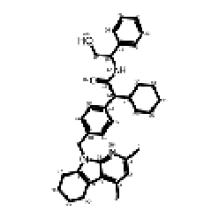 Cc1cc(C)c2c3c(n(Cc4ccc(C(C(=O)NC(CO)c5ccccc5)C5CCCCC5)cc4)c2n1)CCCC3